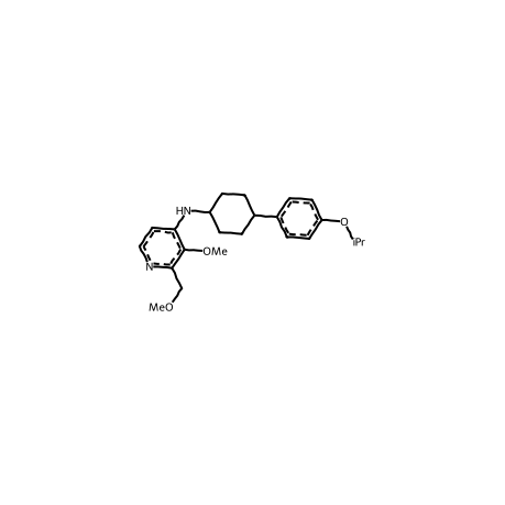 COCc1nccc(NC2CCC(c3ccc(OC(C)C)cc3)CC2)c1OC